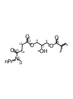 C=C(C)C(=O)OCC(O)COC(=O)CCC(=O)N(C)CCC